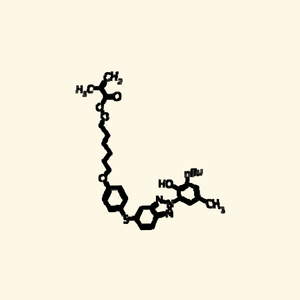 C=C(C)C(=O)OOCCCCCCOc1ccc(Sc2ccc3nn(-c4cc(C)cc(CCCC)c4O)nc3c2)cc1